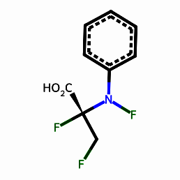 O=C(O)[C@](F)(CF)N(F)c1ccccc1